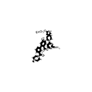 CCOC(=O)[C@@H]1CC2(CCN(c3cc(O[C@H](c4ccc(Cl)cc4-c4cccc(C(=O)N5CCN(C)CC5)c4)C(F)(F)F)nc(N)n3)CC2)CN1